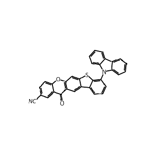 N#Cc1ccc2oc3cc4sc5c(-n6c7ccccc7c7ccccc76)cccc5c4cc3c(=O)c2c1